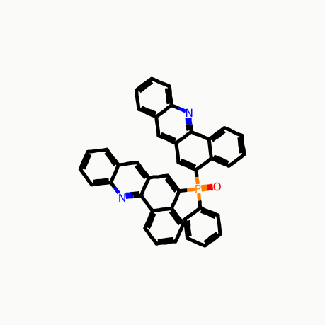 O=P(c1ccccc1)(c1cc2cc3ccccc3nc2c2ccccc12)c1cc2cc3ccccc3nc2c2ccccc12